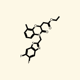 CCOC(=O)CC1Oc2c(C)cccc2N(Cc2nc3cc(F)c(F)cc3s2)C1=O